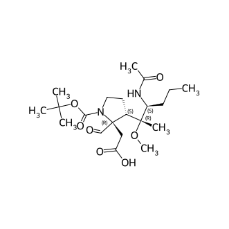 CCC[C@H](NC(C)=O)[C@](C)(OC)[C@H]1CCN(C(=O)OC(C)(C)C)[C@]1(C=O)CC(=O)O